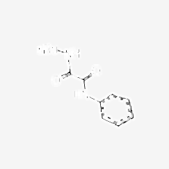 CC(C)(C)NC(=O)C(=O)Nc1ccccc1